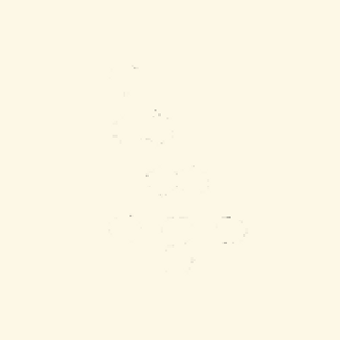 c1ccc(-c2c3c(c(-c4ccccc4)c4ccccc24)-c2ccc(-c4ccnc5c(-c6ccccc6)cccc45)c4cccc-3c24)cc1